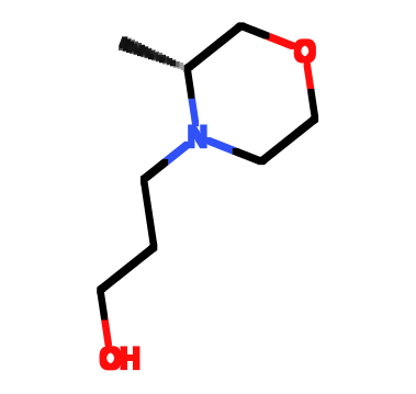 C[C@@H]1COCCN1CCCO